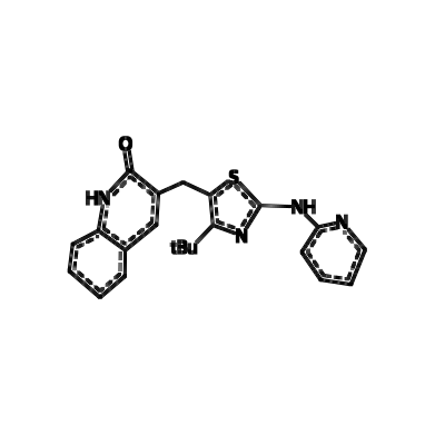 CC(C)(C)c1nc(Nc2ccccn2)sc1Cc1cc2ccccc2[nH]c1=O